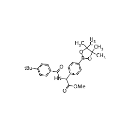 COC(=O)C(NC(=O)c1ccc(C(C)(C)C)cc1)c1ccc(B2OC(C)(C)C(C)(C)O2)cc1